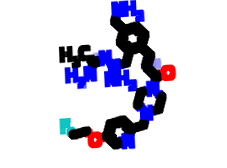 C/C(N)=N/N(N)Cc1cc(CN)ccc1/C=C/C(=O)N1CCN(Cc2ccc(OCCF)cn2)CC1